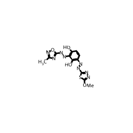 COc1nnc(/N=N/c2ccc(O)c(/N=N/c3nc(C)no3)c2O)s1